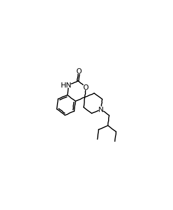 CCC(CC)CN1CCC2(CC1)OC(=O)Nc1ccccc12